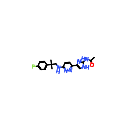 CC(=O)Nc1nc(-c2ccc(NCC(C)(C)c3ccc(F)cc3)nn2)c[nH]1